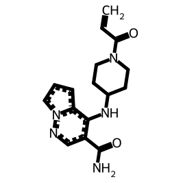 C=CC(=O)N1CCC(Nc2c(C(N)=O)cnn3cccc23)CC1